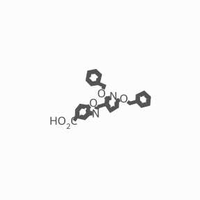 O=C(O)c1ccc2oc(-c3ccc(OCc4ccccc4)nc3OCc3ccccc3)nc2c1